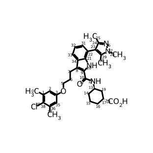 Cc1cc(OCCCc2c(C(=O)N[C@@H]3CCC[C@@H](C(=O)O)C3)[nH]c3c(-c4c(C)nn(C)c4C)cccc23)cc(C)c1Cl